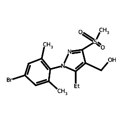 CCc1c(CO)c(S(C)(=O)=O)nn1-c1c(C)cc(Br)cc1C